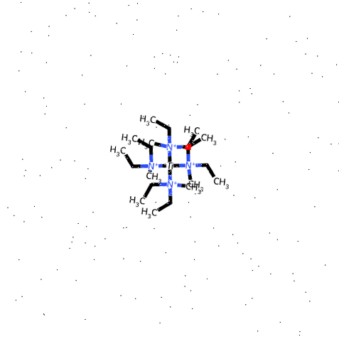 CC[N+](C)(CC)[Ti]([N+](C)(CC)CC)([N+](C)(CC)CC)[N+](C)(CC)CC